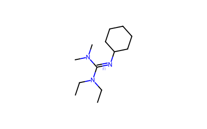 CCN(CC)/C(=N/C1CCCCC1)N(C)C